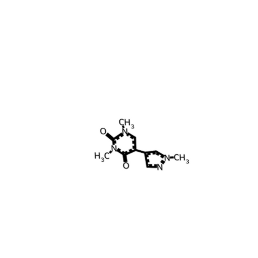 Cn1cc(-c2cn(C)c(=O)n(C)c2=O)cn1